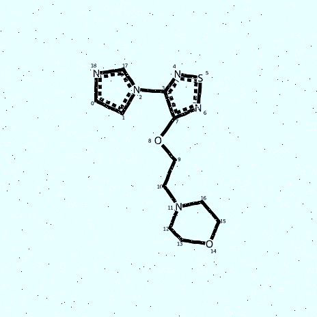 c1cn(-c2nsnc2OCCN2CCOCC2)cn1